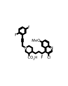 COc1ccc2ncc(Cl)c([C@H](F)CCC3CCN(CC#Cc4cc(F)ccc4F)CC3C(=O)O)c2c1